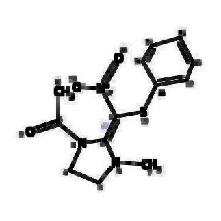 CC(=O)N1CCN(C)/C1=C(\Sc1ccccc1)[N+](=O)[O-]